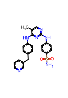 Cc1cnc(Nc2ccc(S(N)(=O)=O)cc2)nc1Nc1ccc(Cc2cccnc2)cc1